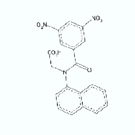 O=C(O)CN(C(=O)c1cc([N+](=O)[O-])cc([N+](=O)[O-])c1)c1cccc2ccccc12